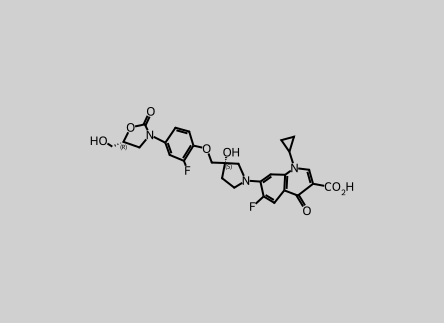 O=C(O)c1cn(C2CC2)c2cc(N3CC[C@@](O)(COc4ccc(N5C[C@H](CO)OC5=O)cc4F)C3)c(F)cc2c1=O